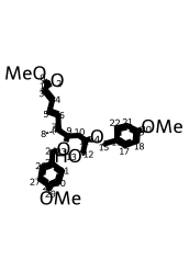 COC(=O)C=CC=C[C@@H](C)C(CC(CO)OCc1ccc(OC)cc1)OCc1ccc(OC)cc1